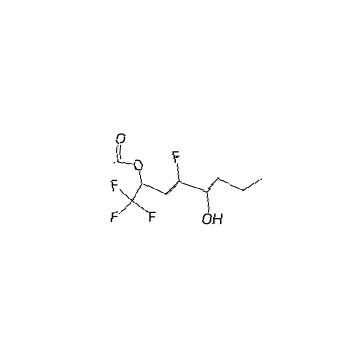 CCCC(O)C(F)CC(O[C]=O)C(F)(F)F